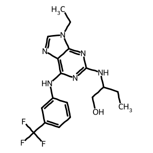 CCC(CO)Nc1nc(Nc2cccc(C(F)(F)F)c2)c2ncn(CC)c2n1